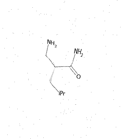 CC(C)C[C@H](CN)C(N)=O